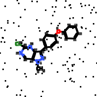 Cn1nc(-c2ccc(Oc3ccccc3)cc2)c2nc(Cl)ncc21